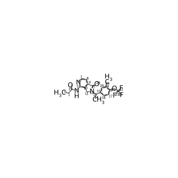 CCC(=O)Nc1nccc2c1CN(C(C)c1ccc(OC(F)(F)F)c(C)c1)C2=O